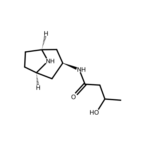 CC(O)CC(=O)N[C@H]1C[C@H]2CC[C@@H](C1)N2